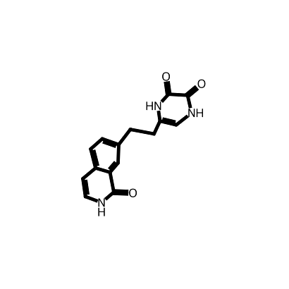 O=c1[nH]cc(CCc2ccc3cc[nH]c(=O)c3c2)[nH]c1=O